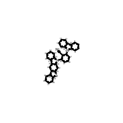 N#Cc1c(-n2c3ccccc3c3ccccc32)cccc1-n1c2ccccc2c2cc3c(cc21)sc1ccccc13